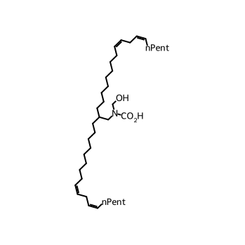 CCCCC/C=C\C/C=C\CCCCCCCCC(CCCCCCCC/C=C\C/C=C\CCCCC)CN(CO)C(=O)O